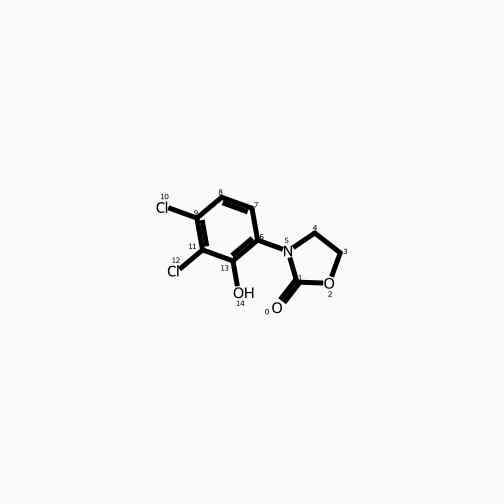 O=C1OCCN1c1ccc(Cl)c(Cl)c1O